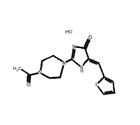 CC(=O)N1CCN(C2=NC(=O)/C(=C/c3cccs3)N2)CC1.Cl